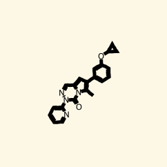 Cc1c(-c2cccc(OC3CC3)c2)cc2cnn(-c3ccccn3)c(=O)n12